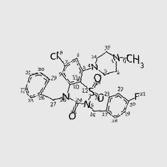 CN1CCN(c2cc(Cl)cc3c2S(=O)(=O)N(Cc2ccc(F)cc2)C(=O)N3Cc2ccccc2)CC1